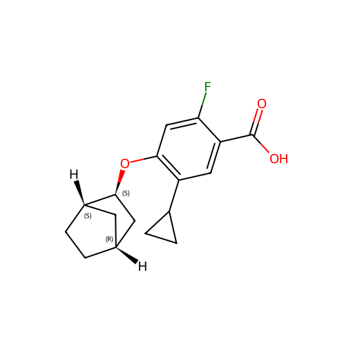 O=C(O)c1cc(C2CC2)c(O[C@H]2C[C@@H]3CC[C@H]2C3)cc1F